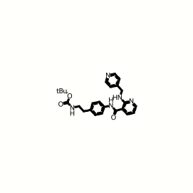 CC(C)(C)OC(=O)NCCc1ccc(NC(=O)c2cccnc2NCc2ccncc2)cc1